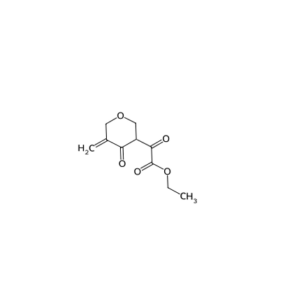 C=C1COCC(C(=O)C(=O)OCC)C1=O